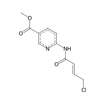 COC(=O)c1ccc(NC(=O)/C=C/CCl)nc1